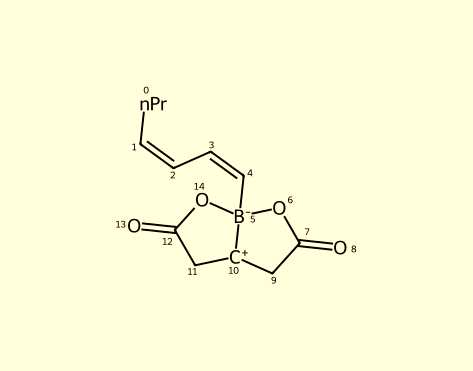 CCC/C=C\C=C/[B-]12OC(=O)C[C+]1CC(=O)O2